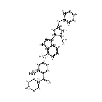 O=C(c1ccc(Nc2nccn3c(-c4cn(Cc5ncccn5)nc4C(F)(F)F)cnc23)cc1O)N1CCOCC1